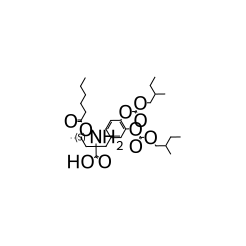 CCCCCC(=O)O[C@@H](C)CC(N)(Cc1ccc(OC(=O)OCC(C)CC)c(OC(=O)OCC(C)CC)c1)C(=O)O